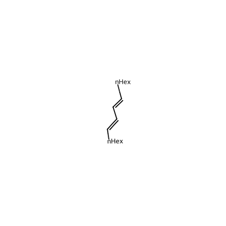 [CH2]CCCCCC=CC=CCCCCCC